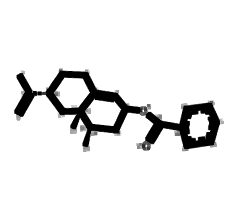 C=C(C)[C@@H]1CCC2=CC(OC(=O)c3ccccc3)C[C@@H](C)[C@]2(C)C1